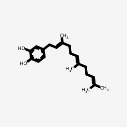 CC(C)=CCC/C(C)=C/CC/C(C)=C/Cc1ccc(O)c(O)c1